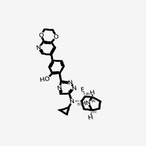 Oc1cc(-c2cnc3c(c2)OCCO3)ccc1-c1ncc(N(C2CC2)[C@H]2C[C@@H]3CC[C@@H](N3)[C@H]2F)nn1